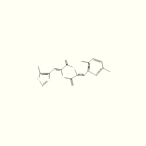 CC(C)(C)c1[nH]cnc1/C=c1\[nH]c(=O)/c(=C/c2cc(I)ccc2F)[nH]c1=O